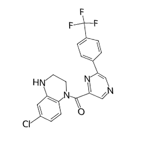 O=C(c1cncc(-c2ccc(C(F)(F)F)cc2)n1)N1CCNc2cc(Cl)ccc21